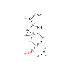 COC(=O)C1NC2=CC3=C(CC24CC14)C(=O)CC=C3